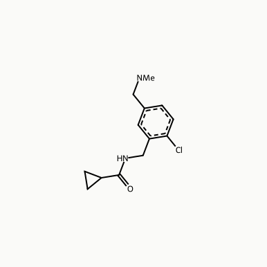 CNCc1ccc(Cl)c(CNC(=O)C2CC2)c1